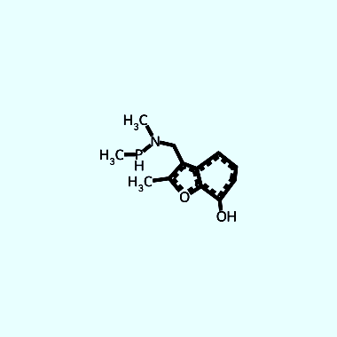 CPN(C)Cc1c(C)oc2c(O)cccc12